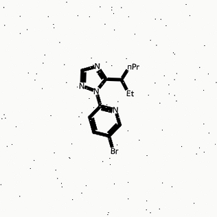 CCCC(CC)c1ncnn1-c1ccc(Br)cn1